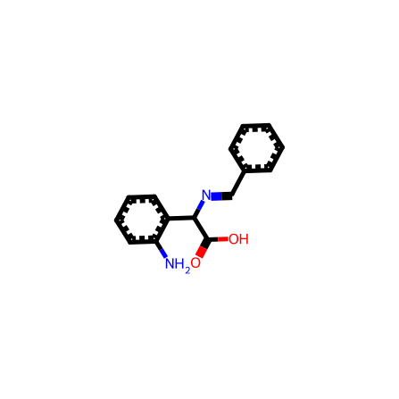 Nc1ccccc1C(N=Cc1ccccc1)C(=O)O